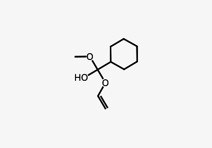 C=COC(O)(OC)C1CCCCC1